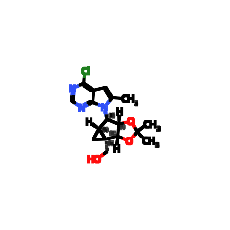 Cc1cc2c(Cl)ncnc2n1[C@H]1[C@@H]2OC(C)(C)O[C@@H]2[C@@]2(CO)C[C@H]12